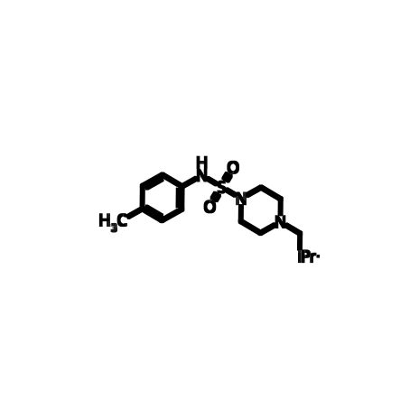 C[C](C)CN1CCN(S(=O)(=O)Nc2ccc(C)cc2)CC1